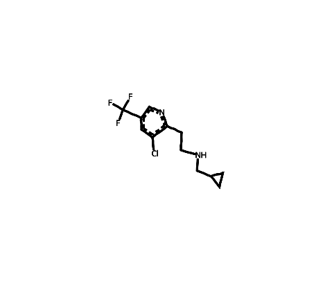 FC(F)(F)c1cnc(CCNCC2CC2)c(Cl)c1